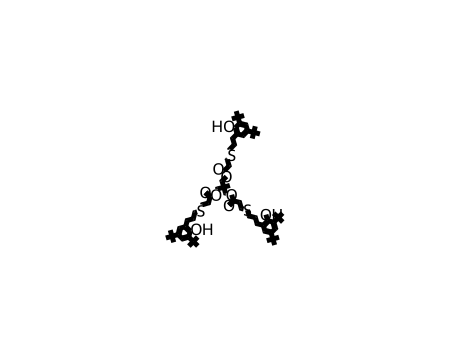 CC(COC(=O)CCSCCCc1cc(C(C)(C)C)cc(C(C)(C)C)c1O)(COC(=O)CCSCCCc1cc(C(C)(C)C)cc(C(C)(C)C)c1O)COC(=O)CCSCCCc1cc(C(C)(C)C)cc(C(C)(C)C)c1O